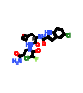 NC(=O)CCN(NC(=O)[C@H](CC12CC(C1)C2)NC(=O)c1cc2cc(Cl)ccc2[nH]1)C(=O)C(F)Cl